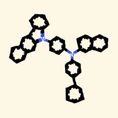 c1ccc(-c2ccc(N(c3ccc(-n4c5ccccc5c5cc6ccccc6cc54)cc3)c3ccc4ccccc4c3)cc2)cc1